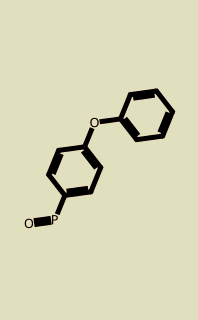 O=Pc1ccc(Oc2ccccc2)cc1